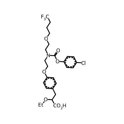 CCOC(Cc1ccc(OCCN(CCOCCCC(F)(F)F)C(=O)Oc2ccc(Cl)cc2)cc1)C(=O)O